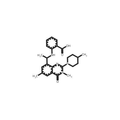 Cc1cc(C(C)Nc2ccccc2C(=O)O)c2nc(N3CCC(C)CC3)n(C)c(=O)c2c1